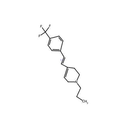 CCCN1CC=C(/C=C/c2ccc(C(F)(F)F)cc2)CC1